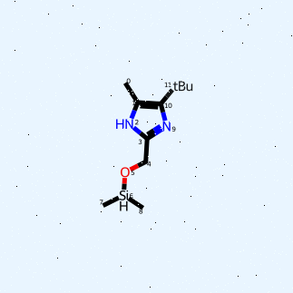 Cc1[nH]c(CO[SiH](C)C)nc1C(C)(C)C